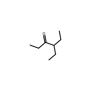 CCC(CC)C(=O)CI